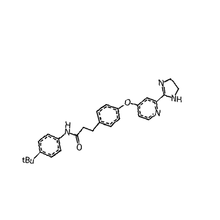 CC(C)(C)c1ccc(NC(=O)CCc2ccc(Oc3ccnc(C4=NCCN4)c3)cc2)cc1